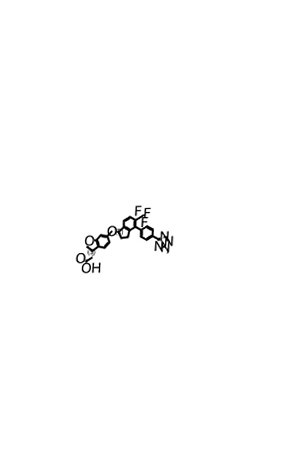 Cn1nnc(-c2ccc(-c3c(C(F)(F)F)ccc4c3CC[C@H]4Oc3ccc4c(c3)OC[C@H]4CC(=O)O)cc2)n1